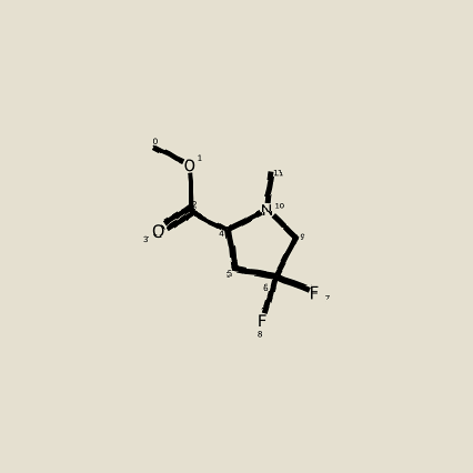 COC(=O)C1CC(F)(F)CN1C